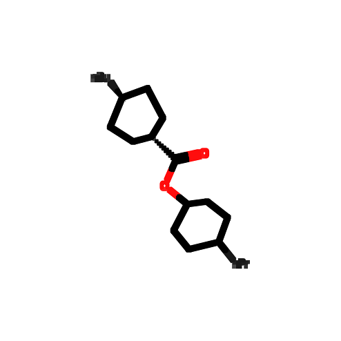 CCCC[C@H]1CC[C@H](C(=O)OC2CCC(CCC)CC2)CC1